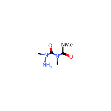 CNC(=O)N(C)C(=O)N(C)N